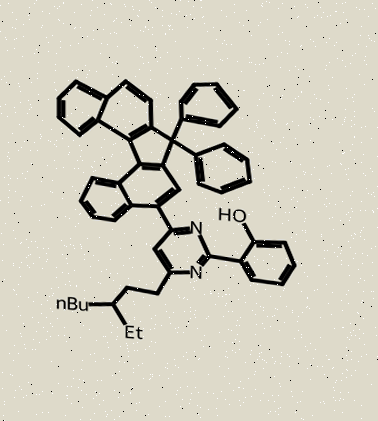 CCCCC(CC)CCc1cc(-c2cc3c(c4ccccc24)-c2c(ccc4ccccc24)C3(c2ccccc2)c2ccccc2)nc(-c2ccccc2O)n1